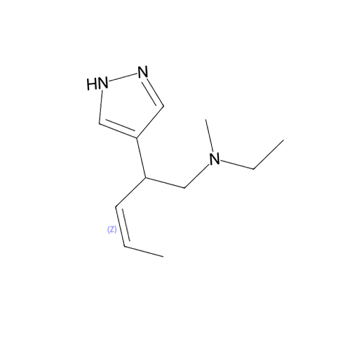 C/C=C\C(CN(C)CC)c1cn[nH]c1